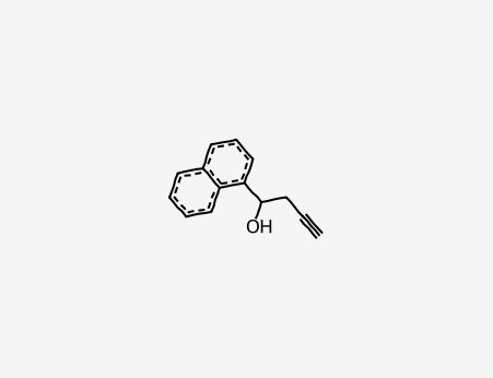 C#CCC(O)c1cccc2ccccc12